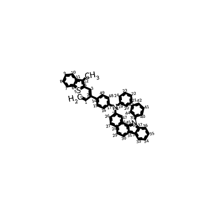 C=C/C(=C\c1sc2ccccc2c1C)c1ccc(N(c2ccccc2)c2ccc3ccc4c5ccccc5n(-c5ccccc5)c4c3c2)cc1